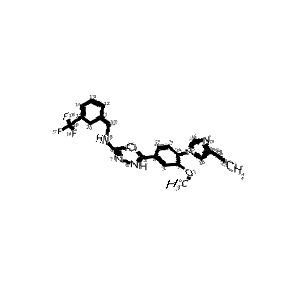 COC1C=C(C2NN=C(NCC3C=CC=C(C(F)(F)F)C3)O2)C=CC1n1cnc(C)c1